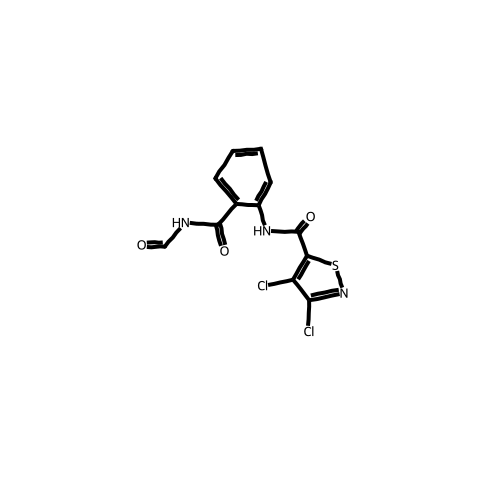 O=CNC(=O)c1ccccc1NC(=O)c1snc(Cl)c1Cl